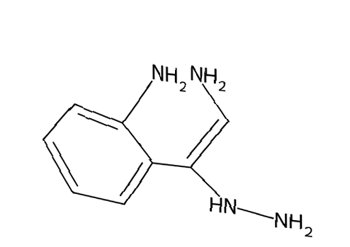 N/C=C(/NN)c1ccccc1N